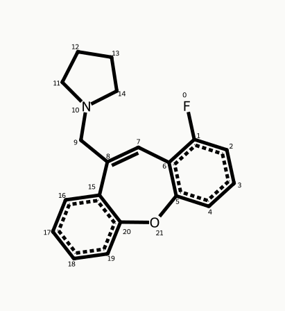 Fc1cccc2c1C=C(CN1CCCC1)c1ccccc1O2